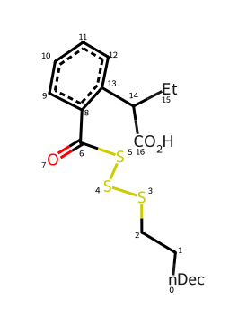 CCCCCCCCCCCCSSSC(=O)c1ccccc1C(CC)C(=O)O